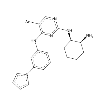 CC(=O)c1cnc(N[C@@H]2CCCC[C@@H]2N)nc1Nc1cccc(-n2cccc2)c1